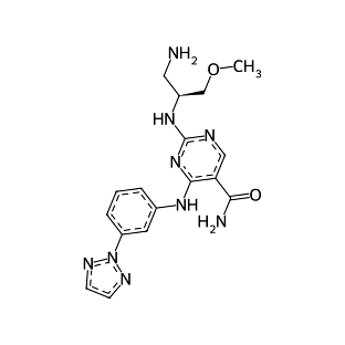 COC[C@H](CN)Nc1ncc(C(N)=O)c(Nc2cccc(-n3nccn3)c2)n1